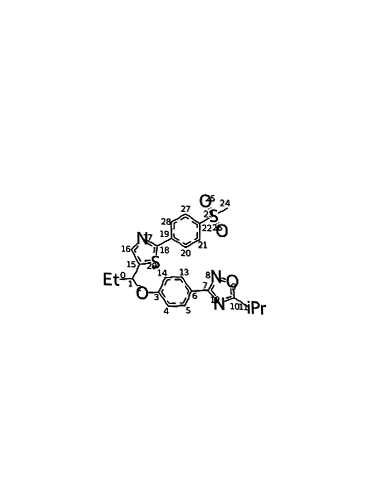 CCC(Oc1ccc(-c2noc(C(C)C)n2)cc1)c1cnc(-c2ccc(S(C)(=O)=O)cc2)s1